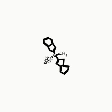 C[Si](C)(C1=Cc2ccccc2C1)C1=Cc2ccccc2C1.[Cl-].[Cl-].[Zr+2]